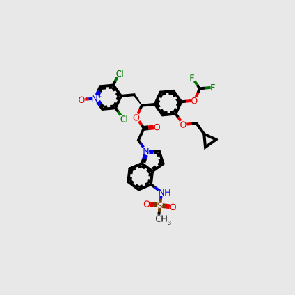 CS(=O)(=O)Nc1cccc2c1ccn2CC(=O)O[C@@H](Cc1c(Cl)c[n+]([O-])cc1Cl)c1ccc(OC(F)F)c(OCC2CC2)c1